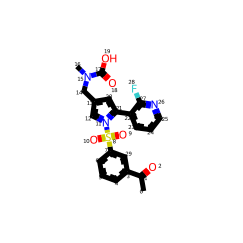 CC(=O)c1cccc(S(=O)(=O)n2cc(CN(C)C(=O)O)cc2-c2cccnc2F)c1